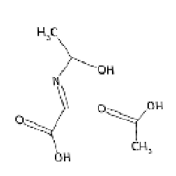 CC(=O)O.CC(O)N=CC(=O)O